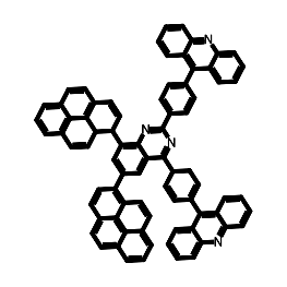 C1=CC(c2nc(-c3ccc(-c4c5ccccc5nc5ccccc45)cc3)nc3c(C4C=Cc5ccc6cccc7c6c5C4C=C7)cc(-c4ccc5ccc6cccc7ccc4c5c67)cc23)CC=C1c1c2ccccc2nc2ccccc12